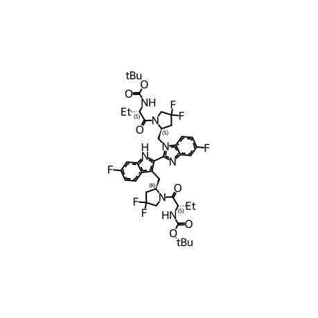 CC[C@H](NC(=O)OC(C)(C)C)C(=O)N1CC(F)(F)C[C@H]1Cc1c(-c2nc3cc(F)ccc3n2C[C@@H]2CC(F)(F)CN2C(=O)[C@H](CC)NC(=O)OC(C)(C)C)[nH]c2cc(F)ccc12